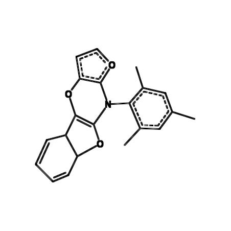 Cc1cc(C)c(N2C3=C(Oc4ccoc42)C2C=CC=CC2O3)c(C)c1